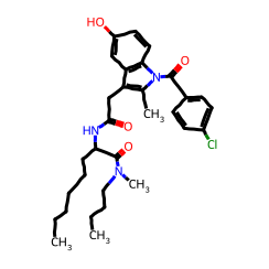 CCCCCCC(NC(=O)Cc1c(C)n(C(=O)c2ccc(Cl)cc2)c2ccc(O)cc12)C(=O)N(C)CCCC